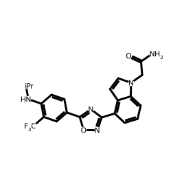 CC(C)Nc1ccc(-c2nc(-c3cccc4c3ccn4CC(N)=O)no2)cc1C(F)(F)F